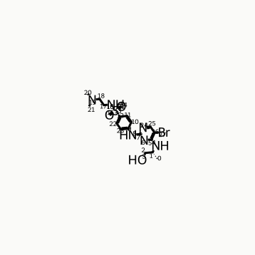 C[C@H](CO)Nc1nc(Nc2ccc(S(=O)(=O)NCCN(C)C)cc2)ncc1Br